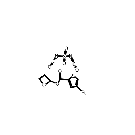 CCc1csc(C(=O)OC2CCO2)c1.O=C=NS(=O)(=O)N=C=O